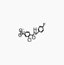 O=C(NCc1ccc(F)cc1)c1ccc([N+](=O)[O-])cc1Cl